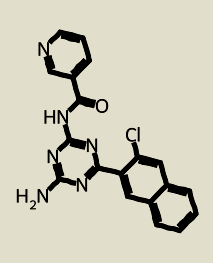 Nc1nc(NC(=O)c2cccnc2)nc(-c2cc3ccccc3cc2Cl)n1